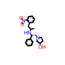 CC(Cc1ccccc1[N+](=O)[O-])N[C@H](CN1CCC(O)C1)c1ccccc1